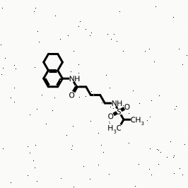 CC(C)S(=O)(=O)NCCCCC(=O)Nc1cccc2c1CCCC2